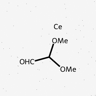 COC(C=O)OC.[Ce]